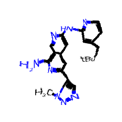 Cn1nncc1-c1cc2cc(Nc3cc(CC(C)(C)C)ccn3)ncc2c(N)n1